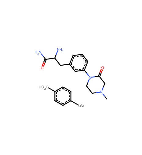 CC(C)(C)c1ccc(C(=O)O)cc1.CN1CCN(c2cccc(CC(N)C(N)=O)c2)C(=O)C1